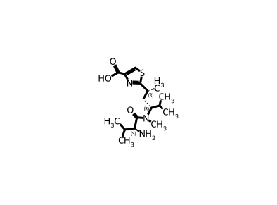 CC(C)[C@H](N)C(=O)N(C)[C@H](C[C@@H](C)c1nc(C(=O)O)cs1)C(C)C